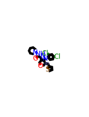 O=C(NN1CCCCCC1)c1nn(-c2ccc(Cl)cc2Cl)c2c1COC/C2=C\c1cccs1